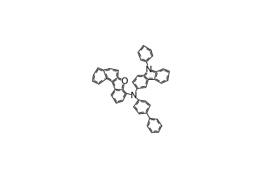 c1ccc(-c2ccc(N(c3ccc4c(c3)c3ccccc3n4-c3ccccc3)c3cccc4c3oc3ccc5ccccc5c34)cc2)cc1